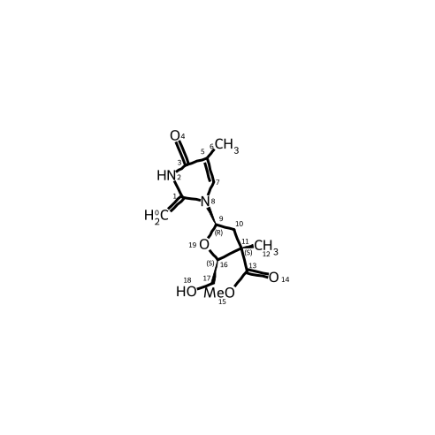 C=C1NC(=O)C(C)=CN1[C@H]1C[C@](C)(C(=O)OC)[C@@H](CO)O1